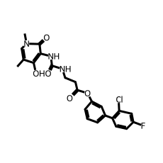 Cc1cn(C)c(=O)c(NC(=O)NCCC(=O)Oc2cccc(-c3ccc(F)cc3Cl)c2)c1O